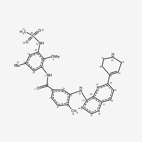 COc1c(NC(=O)c2ccc(C)c(Nc3ncnc4ccc(C5=CCNCC5)nc34)c2)cc(C(C)(C)C)cc1NS(C)(=O)=O